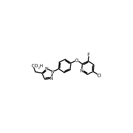 O=C(O)Cc1cnn(-c2ccc(Oc3ncc(Cl)cc3F)cc2)n1